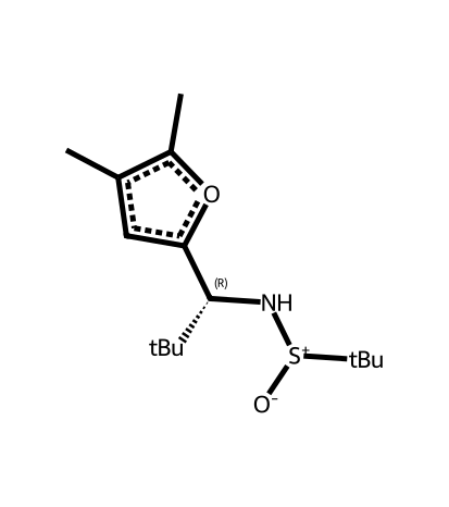 Cc1cc([C@H](N[S+]([O-])C(C)(C)C)C(C)(C)C)oc1C